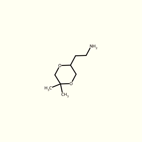 CC1(C)COC(CCN)CO1